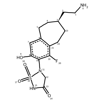 NCC[C@@H]1CCc2cc(O)c(N3CC(=O)NS3(=O)=O)c(F)c2CC1